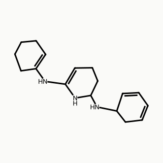 C1=CCC(NC2CCC=C(NC3=CCCCC3)N2)C=C1